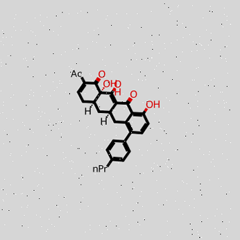 CCCc1ccc(-c2ccc(O)c3c2C[C@H]2C[C@H]4CC=C(C(C)=O)C(=O)[C@@]4(O)C(O)=C2C3=O)cc1